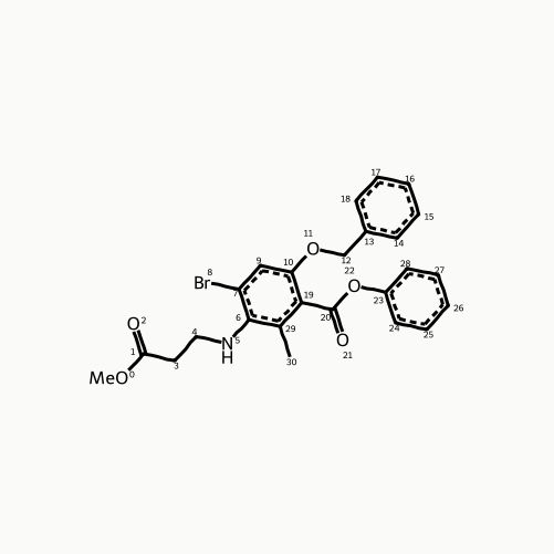 COC(=O)CCNc1c(Br)cc(OCc2ccccc2)c(C(=O)Oc2ccccc2)c1C